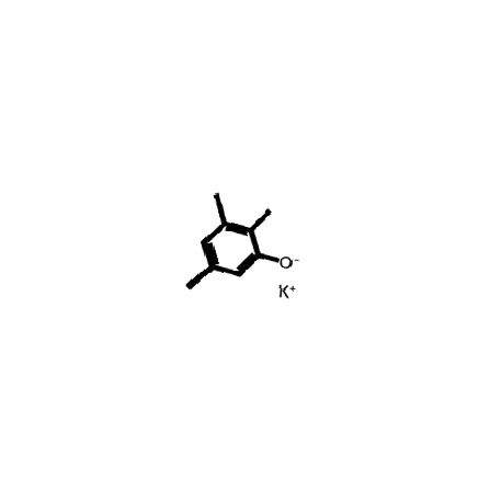 Cc1cc(C)c(C)c([O-])c1.[K+]